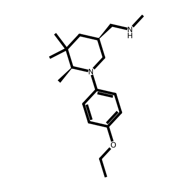 CCOc1ccc(N2C[C@H](CNC)CC(C)(C)[C@@H]2C)cc1